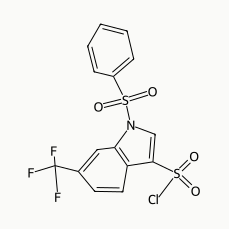 O=S(=O)(Cl)c1cn(S(=O)(=O)c2ccccc2)c2cc(C(F)(F)F)ccc12